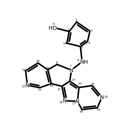 Oc1cccc(NN2Cc3ccncc3-c3nn4ccncc4c32)c1